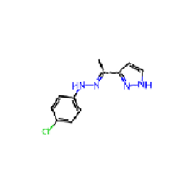 C/C(=N\Nc1ccc(Cl)cc1)c1cc[nH]n1